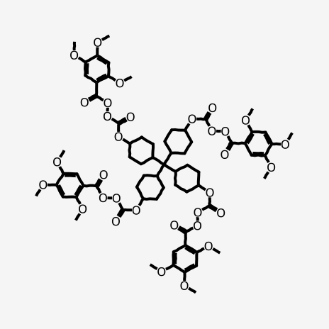 COc1cc(OC)c(C(=O)OOC(=O)OC2CCC(C(C3CCC(OC(=O)OOC(=O)c4cc(OC)c(OC)cc4OC)CC3)(C3CCC(OC(=O)OOC(=O)c4cc(OC)c(OC)cc4OC)CC3)C3CCC(OC(=O)OOC(=O)c4cc(OC)c(OC)cc4OC)CC3)CC2)cc1OC